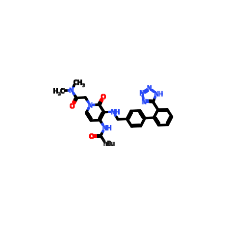 CCCCC(=O)Nc1ccn(CC(=O)N(C)C)c(=O)c1NCc1ccc(-c2ccccc2-c2nnn[nH]2)cc1